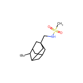 CC(C)(C)C1C2CC3CC1CC(CNS(C)(=O)=O)(C3)C2